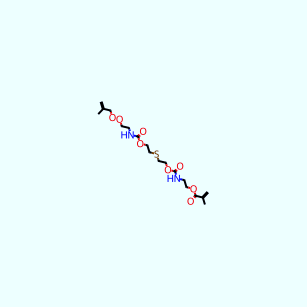 C=C(C)COOCCNC(=O)OCCSCCOC(=O)NCCOC(=O)C(=C)C